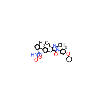 CCCc1nc(C)n(-c2ccc(OC3CCCCC3)cc2)c(=O)c1Cc1ccc(-c2ccccc2-c2noc(=O)[nH]2)cc1